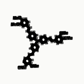 COc1ccc(C=Cc2ccc(N(c3ccc(C=Cc4ccc(OC)c(OC)c4)cc3)c3ccc(C=Cc4ccc(OC)c(OC)c4)cc3)cc2)cc1OC